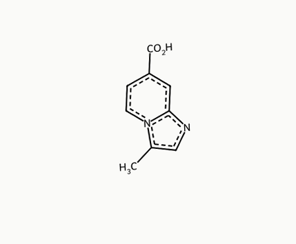 Cc1cnc2cc(C(=O)O)ccn12